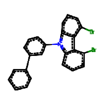 Brc1cccc2c1c1c(Br)cccc1n2-c1cccc(-c2ccccc2)c1